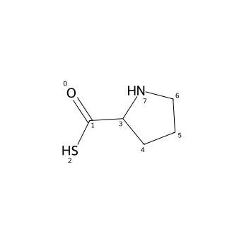 O=C(S)C1CCCN1